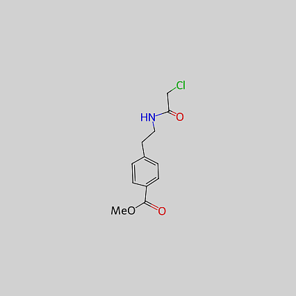 COC(=O)c1ccc(CCNC(=O)CCl)cc1